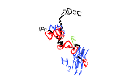 CCCCCCCCCCCCCCCCCC(=O)OC(CCC(=O)OC[C@H]1O[C@@H](n2cnc3c(=O)[nH]c(N)nc32)C[C@@H]1F)COC(=O)[C@@H](N)C(C)C